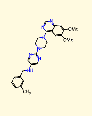 COc1cc2ncnc(N3CCN(c4ncc(NCc5cccc(C)c5)cn4)CC3)c2cc1OC